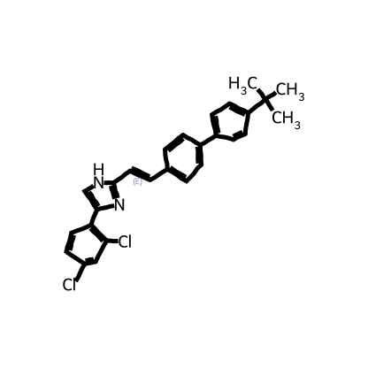 CC(C)(C)c1ccc(-c2ccc(/C=C/c3nc(-c4ccc(Cl)cc4Cl)c[nH]3)cc2)cc1